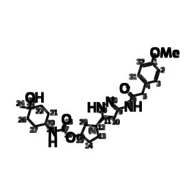 COc1ccc(CC(=O)Nc2cc([C@H]3CC[C@@H](OC(=O)NC4CCC(C)(O)CC4)C3)[nH]n2)cc1